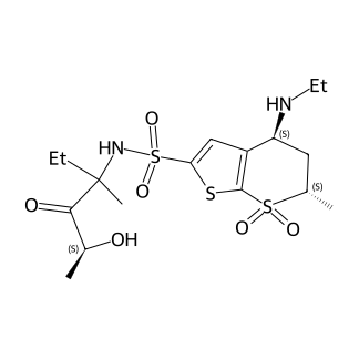 CCN[C@H]1C[C@H](C)S(=O)(=O)c2sc(S(=O)(=O)NC(C)(CC)C(=O)[C@H](C)O)cc21